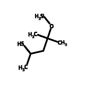 CC(S)CC(C)(C)O[SiH3]